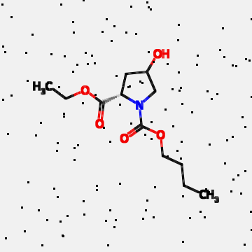 CCCCOC(=O)N1CC(O)C[C@H]1C(=O)OCC